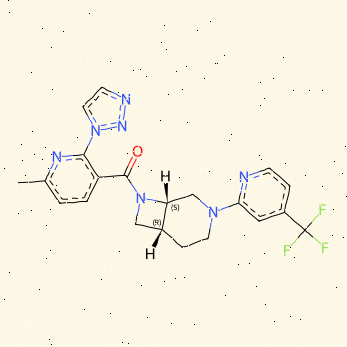 Cc1ccc(C(=O)N2C[C@H]3CCN(c4cc(C(F)(F)F)ccn4)C[C@H]32)c(-n2ccnn2)n1